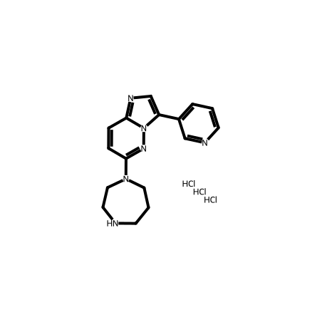 Cl.Cl.Cl.c1cncc(-c2cnc3ccc(N4CCCNCC4)nn23)c1